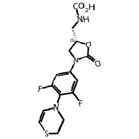 O=C(O)NC[C@H]1CN(c2cc(F)c(N3C=CSCC3)c(F)c2)C(=O)O1